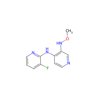 CONc1cnccc1Nc1ncccc1F